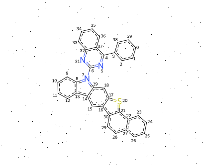 c1ccc(-c2nc(-n3c4ccccc4c4cc5c(cc43)sc3c4ccccc4ccc53)nc3ccccc23)cc1